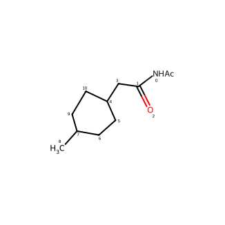 CC(=O)NC(=O)CC1CCC(C)CC1